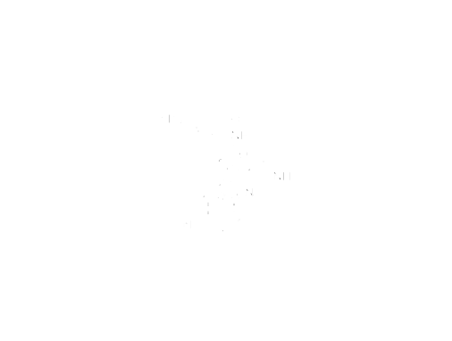 CCCCC#CC(CS(=O)(=O)C1CNCCN1c1ccc(F)cc1)NO